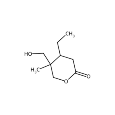 CCC1CC(=O)OCC1(C)CO